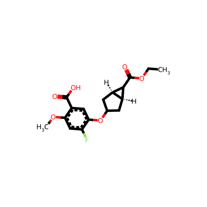 CCOC(=O)C1[C@H]2CC(Oc3cc(C(=O)O)c(OC)cc3F)C[C@@H]12